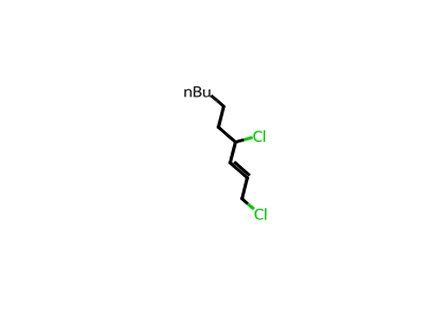 CCCCCCC(Cl)C=CCCl